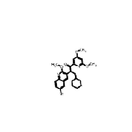 COc1cc(OC)nc(C(=O)C(CC2CCCCC2)c2cc3cc(Br)ccc3nc2OC)c1